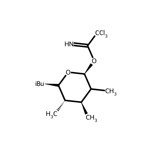 CC[C@H](C)C1O[C@@H](OC(=N)C(Cl)(Cl)Cl)C(C)[C@@H](C)[C@@H]1C